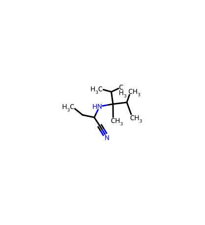 CCC(C#N)NC(C)(C(C)C)C(C)C